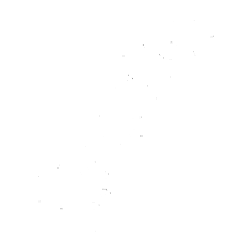 O=C(c1cc(Cc2n[nH]c(=O)c3c2CCCC3)ccc1F)N1CCN(C2CCCC2)CC1